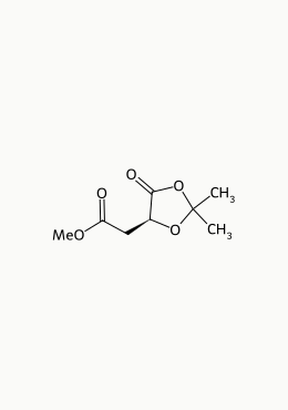 COC(=O)C[C@@H]1OC(C)(C)OC1=O